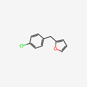 Clc1ccc(Cc2cc[c]o2)cc1